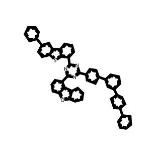 c1ccc(-c2ccc(-c3cccc(-c4ccc(-c5nc(-c6cccc7c6sc6ccc(-c8ccccc8)cc67)nc(-c6cccc7oc8ccccc8c67)n5)cc4)c3)cc2)cc1